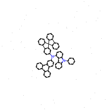 c1ccc(-n2c3ccccc3c3c(N(c4ccc5c(c4)C4(c6ccccc6-c6ccccc64)c4ccccc4-5)c4ccc5c6ccccc6c6ccccc6c5c4)cccc32)cc1